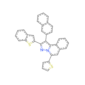 c1csc(-c2cc3ccccc3c3c(-c4ccc5ccccc5c4)c(-c4cc5ccccc5s4)nn23)c1